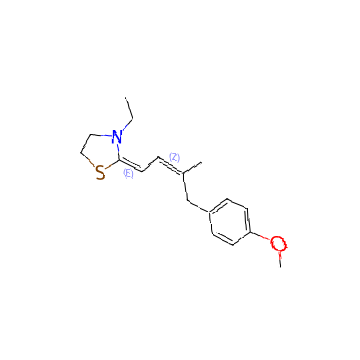 CCN1CCS/C1=C/C=C(/C)Cc1ccc(OC)cc1